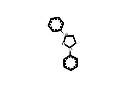 c1ccc([C@@H]2CC[C@@H](c3ccccc3)O2)cc1